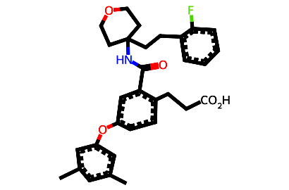 Cc1cc(C)cc(Oc2ccc(CCC(=O)O)c(C(=O)NC3(CCc4ccccc4F)CCOCC3)c2)c1